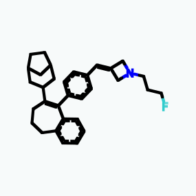 FCCCN1CC(=Cc2ccc(C3=C(C4CC5CCC(C5)C4)CCCc4ccccc43)cc2)C1